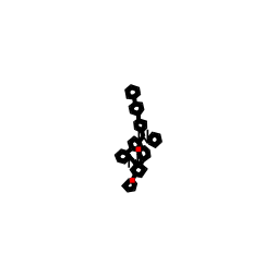 c1ccc(-c2ccc(-c3ccc(N(c4ccccc4)c4ccc(-c5ccccc5-n5c6ccccc6c6ccc(-c7ccccc7)cc65)cc4)cc3)cc2)cc1